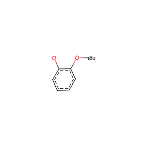 CCC(C)Oc1ccccc1[O]